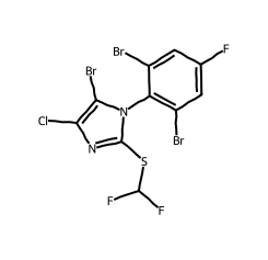 Fc1cc(Br)c(-n2c(SC(F)F)nc(Cl)c2Br)c(Br)c1